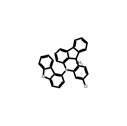 CC12c3ccccc3-c3cccc(c31)N(c1cccc3oc4ccccc4c13)c1cc(Cl)ccc12